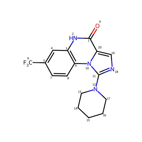 O=c1[nH]c2cc(C(F)(F)F)ccc2n2c(N3CCCCC3)ncc12